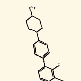 CCCC1CCC(c2ccc(-c3cccc(C)c3F)cc2)CC1